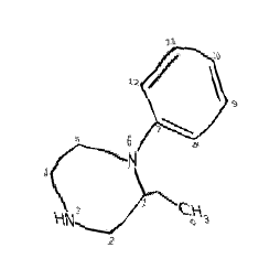 CC1CNCCN1c1ccccc1